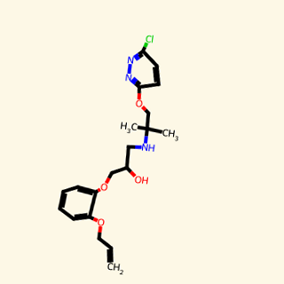 C=CCOc1ccccc1OCC(O)CNC(C)(C)COc1ccc(Cl)nn1